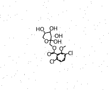 COc1c(Cl)ccc(Cl)c1C(=O)OCC1(O)OC[C@@H](O)[C@@H](O)[C@@H]1O